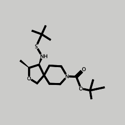 C[C@@H]1OCC2(CCN(C(=O)OC(C)(C)C)CC2)[C@@H]1NSC(C)(C)C